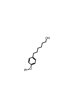 CC(C)Oc1ccc(CCCCCCO)cc1